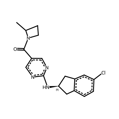 CC1CCN1C(=O)c1cnc(N[C@@H]2Cc3ccc(Cl)cc3C2)nc1